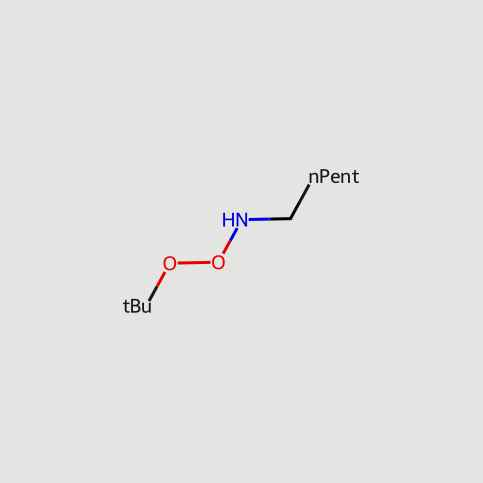 CCCCCCNOOC(C)(C)C